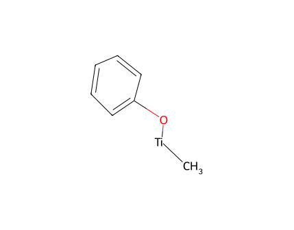 [CH3][Ti][O]c1ccccc1